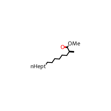 C=C(CCCCCCCCCCCCC)C(=O)OC